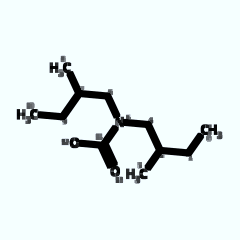 CCC(C)CN(CC(C)CC)C([O])=O